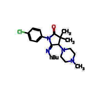 CCCC/N=C1\C(N2CCN(C)CC2)C(C)(C)C(=O)N1c1ccc(Cl)cc1